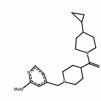 C=C(C1CCN(Cc2ccnc(NC)c2)CC1)N1CCC(C2CC2)CC1